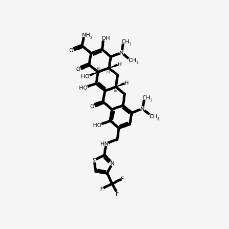 CN(C)c1cc(CNc2nc(C(F)(F)F)cs2)c(O)c2c1C[C@H]1C[C@H]3C(N(C)C)C(O)=C(C(N)=O)C(=O)[C@@]3(O)C(O)=C1C2=O